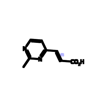 Cc1nccc(/C=C/C(=O)O)n1